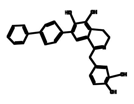 Oc1ccc(CC2=NCCc3c2cc(-c2ccc(-c4ccccc4)cc2)c(O)c3O)cc1O